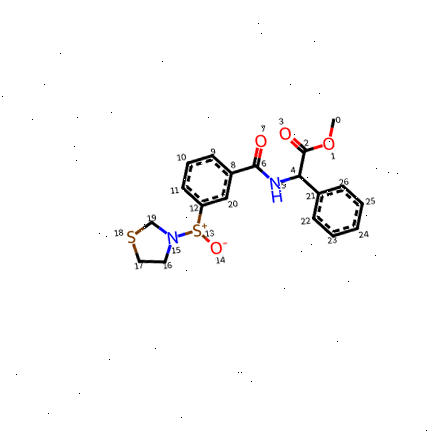 COC(=O)C(NC(=O)c1cccc([S+]([O-])N2CCSC2)c1)c1ccccc1